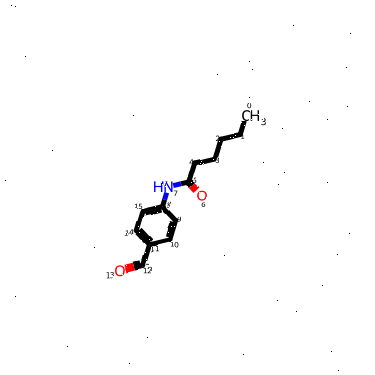 CCCCCC(=O)Nc1ccc([C]=O)cc1